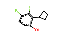 Oc1ccc(F)c(F)c1C1CCC1